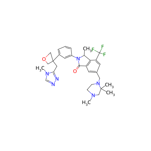 CC1c2c(cc(CN3CCN(C)CC3(C)C)cc2C(F)(F)F)C(=O)N1c1cccc(C2(Cc3nncn3C)COC2)c1